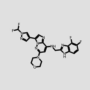 Fc1ccc2[nH]c(CNc3cc(N4CCOCC4)nn4c(-c5cnn(C(F)F)c5)cnc34)nc2c1F